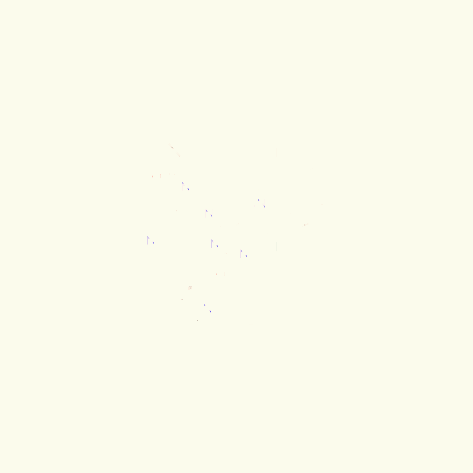 C=C(F)C(=O)N1CCN(c2nc(OC[C@H]3C4CCC(C4)N3CCF)nc3c(F)c(-c4cccc5ccc(F)c(Cl)c45)ncc23)C[C@@H]1CC#N